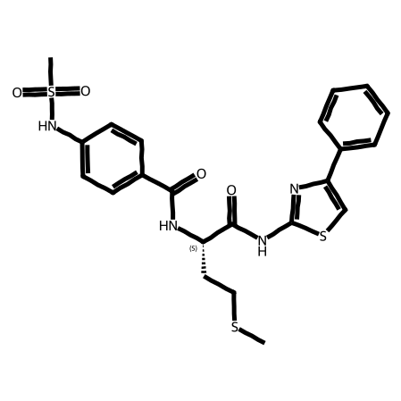 CSCC[C@H](NC(=O)c1ccc(NS(C)(=O)=O)cc1)C(=O)Nc1nc(-c2ccccc2)cs1